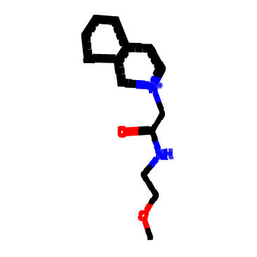 COCCNC(=O)C[n+]1ccc2ccccc2c1